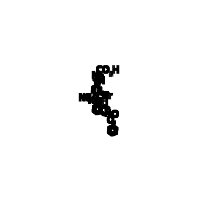 CC(C)[C@@H]1CN(c2cnc(C(=O)O)cn2)CCN1/C(=N\C#N)Nc1cccc2c1CCN(C(=O)OCc1ccccc1)C2